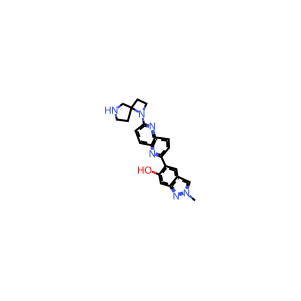 Cn1cc2cc(-c3ccc4nc(N5CCC56CCNC6)ccc4n3)c(O)cc2n1